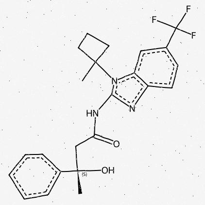 CC1(n2c(NC(=O)C[C@](C)(O)c3ccccc3)nc3ccc(C(F)(F)F)cc32)CCC1